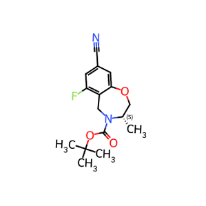 C[C@H]1COc2cc(C#N)cc(F)c2CN1C(=O)OC(C)(C)C